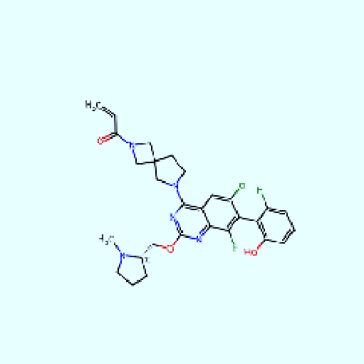 C=CC(=O)N1CC2(CCN(c3nc(OC[C@@H]4CCCN4C)nc4c(F)c(-c5c(O)cccc5F)c(Cl)cc34)C2)C1